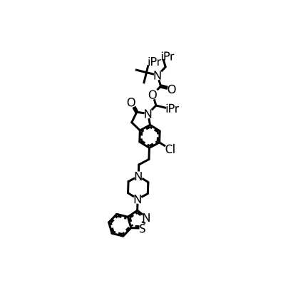 CC(C)CN(C(=O)OC(C(C)C)N1C(=O)Cc2cc(CCN3CCN(c4nsc5ccccc45)CC3)c(Cl)cc21)C(C)(C)C(C)C